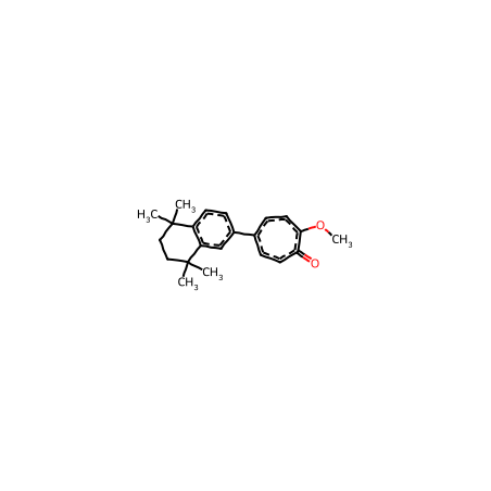 COc1ccc(-c2ccc3c(c2)C(C)(C)CCC3(C)C)ccc1=O